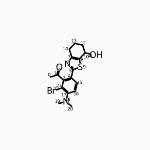 CC(=O)c1c(-c2nc3c(s2)C(O)CCC3)ccc(N(C)C)c1Br